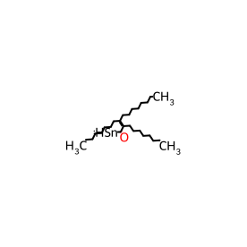 CCCCCCCCC(CCCCCCCC)=C(CCCCCCCC)[C](=O)[SnH]